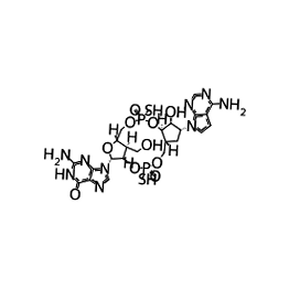 Nc1nc2c(ncn2[C@@H]2O[C@@H]3CO[P@@](=O)(S)O[C@@H]4[C@@H](CO[P@@](=O)(S)O[C@@H]2[C@@H]3CO)C[C@@H](n2ccc3c(N)ncnc32)[C@@H]4O)c(=O)[nH]1